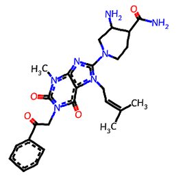 CC(C)=CCn1c(N2CCC(C(N)=O)C(N)C2)nc2c1c(=O)n(CC(=O)c1ccccc1)c(=O)n2C